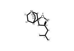 CC(C)CC1=NOC2(C1)CN1CCC2CC1